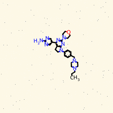 CCCN1CCN(Cc2ccc(N3CCc4c(-c5cnc(N)nc5)nc(N5CCOCC5)nc43)cc2)CC1